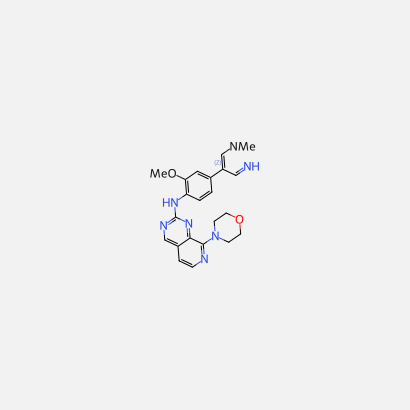 CN/C=C(\C=N)c1ccc(Nc2ncc3ccnc(N4CCOCC4)c3n2)c(OC)c1